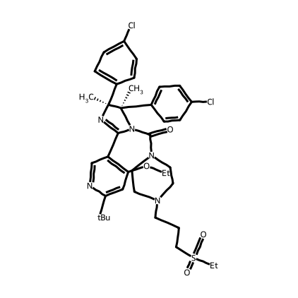 CCOc1cc(C(C)(C)C)ncc1C1=N[C@@](C)(c2ccc(Cl)cc2)[C@@](C)(c2ccc(Cl)cc2)N1C(=O)N1CCN(CCCS(=O)(=O)CC)CC1